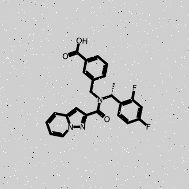 C[C@H](c1ccc(F)cc1F)N(Cc1cccc(C(=O)O)c1)C(=O)c1cc2ccccn2n1